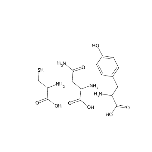 NC(=O)CC(N)C(=O)O.NC(CS)C(=O)O.NC(Cc1ccc(O)cc1)C(=O)O